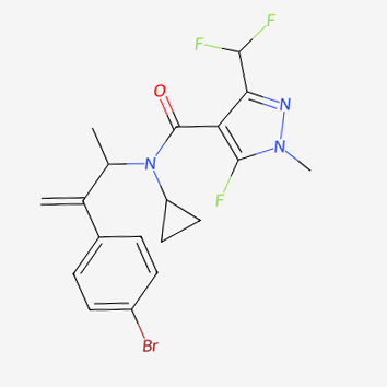 C=C(c1ccc(Br)cc1)C(C)N(C(=O)c1c(C(F)F)nn(C)c1F)C1CC1